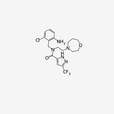 Nc1cccc(Cl)c1CN(CCN1CCCOCC1)C(=O)c1cc(C(F)(F)F)n[nH]1